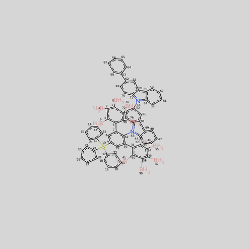 Bc1c(B)c(B)c(-c2cc(S(c3ccccc3)(c3ccccc3)c3ccccc3)cc(-c3c(B)c(B)c(B)c(B)c3B)c2-n2c3ccccc3c3cc(-n4c5ccccc5c5cc(-c6ccccc6)ccc54)ccc32)c(B)c1B